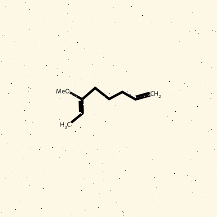 C=CCCC/C(=C/C)OC